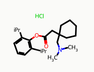 CC(C)c1cccc(C(C)C)c1OC(=O)CC1(CN(C)C)CCCCC1.Cl